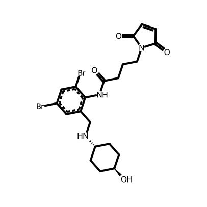 O=C(CCCN1C(=O)C=CC1=O)Nc1c(Br)cc(Br)cc1CN[C@H]1CC[C@H](O)CC1